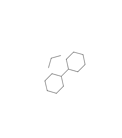 C1CCC(C2CCCCC2)CC1.CCC